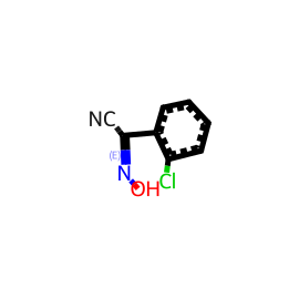 N#C/C(=N/O)c1ccccc1Cl